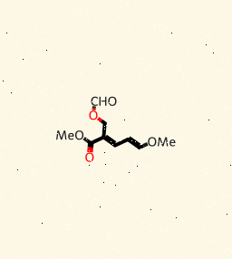 CO/C=C/C=C(\COC=O)C(=O)OC